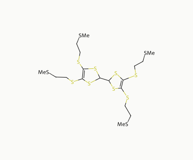 CSCCSC1=C(SCCSC)SC(C2SC(SCCSC)=C(SCCSC)S2)S1